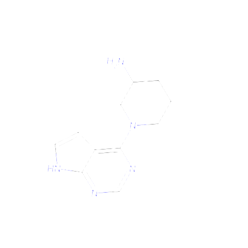 NC1CCCN(c2ncnc3[nH]ccc23)C1